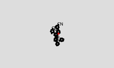 CC1CCC(C#N)=C(n2c3c(c4ccccc42)CC(C#N)C=C3)C1c1ccc2oc3c(ccc4c5ccccc5n(-c5ccccc5)c43)c2c1